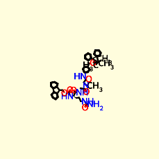 CN(CC(=O)Nc1ccc(CO[Si](c2ccccc2)(c2ccccc2)C(C)(C)C)cc1)C(=O)CNC(=O)[C@H](CCCNC(N)=O)NC(=O)OCC1c2ccccc2-c2ccccc21